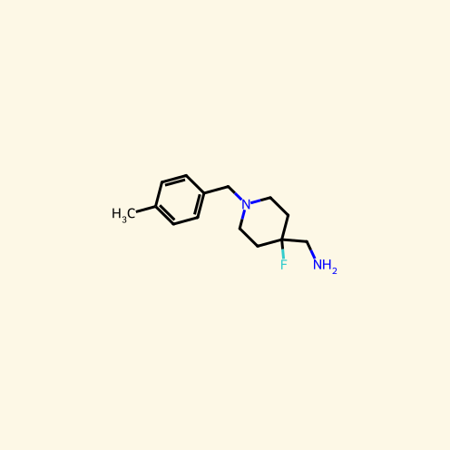 Cc1ccc(CN2CCC(F)(CN)CC2)cc1